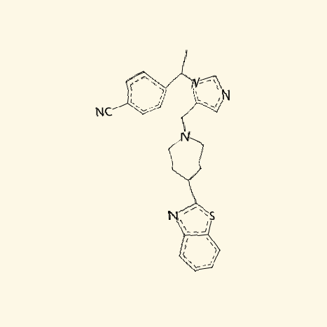 CC(c1ccc(C#N)cc1)n1cncc1CN1CCC(c2nc3ccccc3s2)CC1